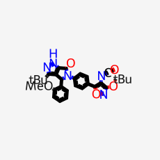 COc1ccccc1C1c2c(C(C)(C)C)n[nH]c2C(=O)N1c1ccc(-c2onc(OC(C)(C)C)c2N=C=O)cc1